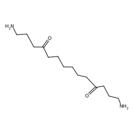 NCCCC(=O)CCCCCCC(=O)CCCN